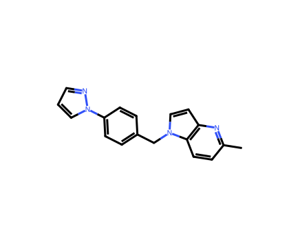 Cc1ccc2c(ccn2Cc2ccc(-n3cccn3)cc2)n1